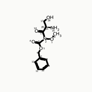 CON(C(=O)OCc1ccccc1)C(=O)[C@H](N)CO